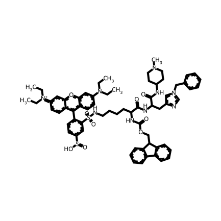 CCN(CC)c1ccc2c(-c3ccc(S(=O)O)cc3S(=O)(=O)NCCCCC(NC(=O)OCC3c4ccccc4-c4ccccc43)C(=O)NC(Cc3cn(Cc4ccccc4)cn3)C(=O)NC3CCN(C)CC3)c3ccc(=[N+](CC)CC)cc-3oc2c1